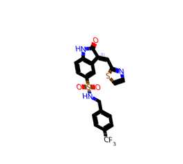 O=C1Nc2ccc(S(=O)(=O)NCc3ccc(C(F)(F)F)cc3)cc2/C1=C\c1nccs1